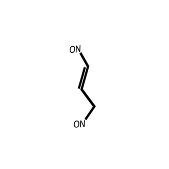 O=NC=CCN=O